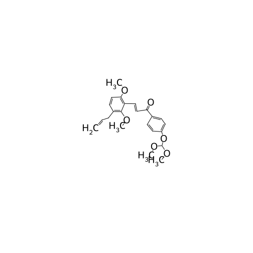 C=CCc1ccc(OC)c(C=CC(=O)c2ccc(OC(OC)OC)cc2)c1OC